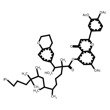 CC(=O)Oc1cc(OC(=O)C(C)(CCCC(C)C(C)CC(C)C(C)(C)CCCC(C)C)C(C(=O)O)c2ccc3c(c2)CCCO3)c2c(=O)cc(-c3ccc(OC(C)=O)c(OC(C)=O)c3)oc2c1